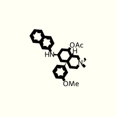 COc1cccc([C@@]23CC[N+](C)(C)C[C@H]2C(OC(C)=O)C[C@H](Nc2ccc4ccccc4c2)C3)c1